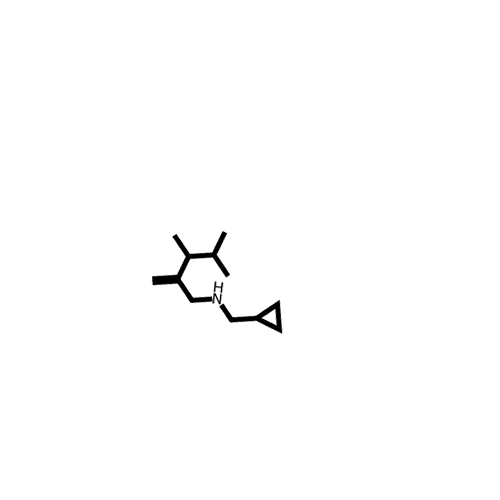 C=C(CNCC1CC1)C(C)C(C)C